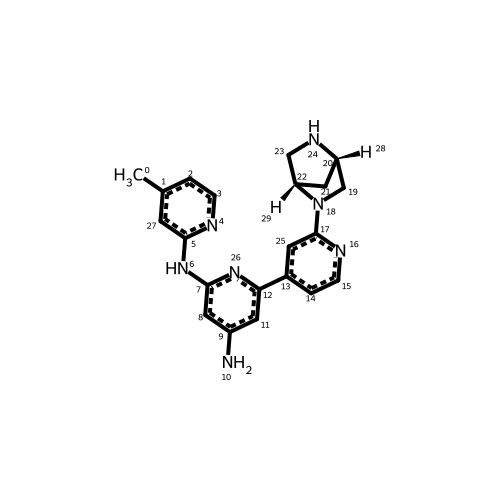 Cc1ccnc(Nc2cc(N)cc(-c3ccnc(N4C[C@@H]5C[C@H]4CN5)c3)n2)c1